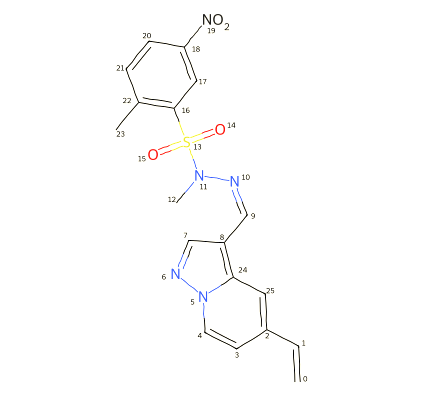 C=Cc1ccn2ncc(/C=N\N(C)S(=O)(=O)c3cc([N+](=O)[O-])ccc3C)c2c1